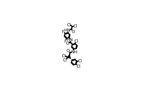 O=C(Nc1cc(NC(=O)C(Cl)Cl)c(F)cc1F)c1cc(NC(=O)C2[C@H](c3ccc(Cl)c(Cl)c3)C2(Cl)Cl)ccc1Cl